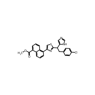 COC(=O)c1cccc2c(-c3csc(C(Cc4ccc(Cl)cc4)c4cnc[nH]4)n3)cccc12